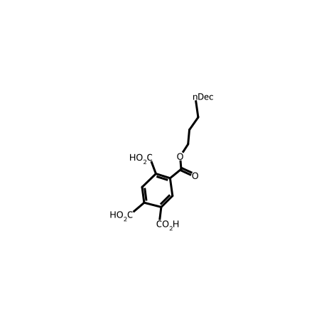 CCCCCCCCCCCCCOC(=O)c1cc(C(=O)O)c(C(=O)O)cc1C(=O)O